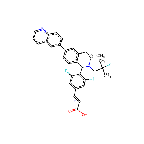 C[C@H]1Cc2cc(-c3ccc4ncccc4c3)ccc2C(c2c(F)cc(/C=C/C(=O)O)cc2F)N1CC(C)(C)F